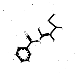 CCC(C)/C(C)=C(\C)OC(=O)c1ccccc1